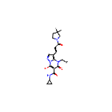 CC(C)Cn1c(=O)c(C(=O)NC2CC2)c(O)n2ncc(/C=C/C(=O)N3CCC(C)(C)C3)c12